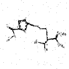 COC(OC)C(CCCc1ccc(C(=O)OC(C)(C)C)s1)C(C#N)C#N